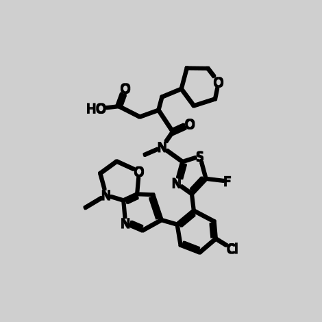 CN1CCOc2cc(-c3ccc(Cl)cc3-c3nc(N(C)C(=O)C(CC(=O)O)CC4CCOCC4)sc3F)cnc21